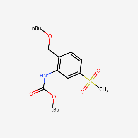 CCCCOCc1ccc(S(C)(=O)=O)cc1NC(=O)OC(C)(C)C